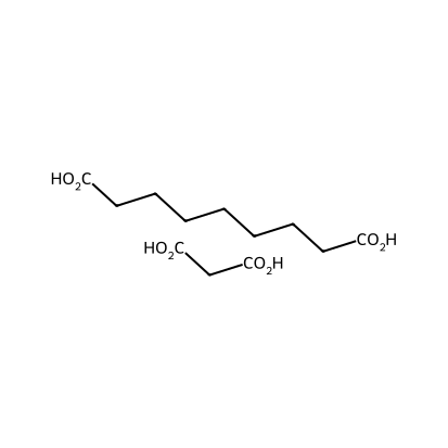 O=C(O)CC(=O)O.O=C(O)CCCCCCCC(=O)O